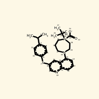 CC(C)c1ccc(Sc2cnc3cccc(N4CCC[N+](C(=O)[O-])(C(C)(C)C)CC4)c3c2)cc1